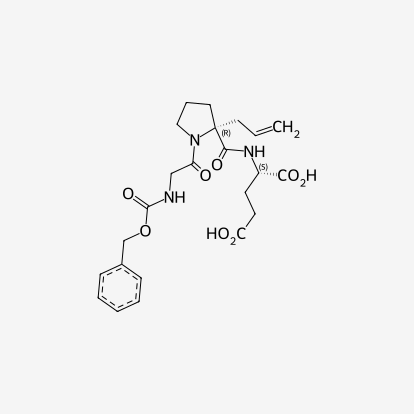 C=CC[C@@]1(C(=O)N[C@@H](CCC(=O)O)C(=O)O)CCCN1C(=O)CNC(=O)OCc1ccccc1